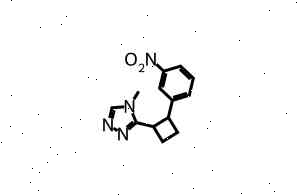 Cn1cnnc1C1CCC1c1cccc([N+](=O)[O-])c1